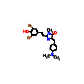 CN1C(=O)/C(=C/c2ccc(N(C)C)cc2)N=C1/C=C/c1cc(Br)c(O)c(Br)c1